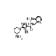 CCn1c(C(=O)NCc2ncccc2N)nnc1N1CCCC(N)C1